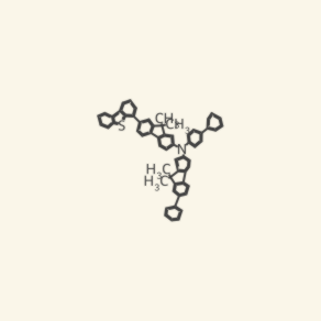 CC1(C)c2cc(-c3ccccc3)ccc2-c2ccc(N(c3ccc(-c4ccccc4)cc3)c3ccc4c(c3)C(C)(C)c3cc(-c5cccc6c5sc5ccccc56)ccc3-4)cc21